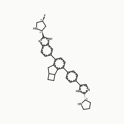 F[C@@H]1CN[C@H](c2nc3ccc(-c4ccc(-c5ccc(-c6cnc([C@@H]7CCCN7)[nH]6)cc5)c5c4CC4CCC54)cc3[nH]2)C1